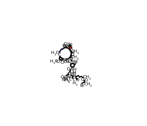 C=C(CBr)C(=O)OC(C)CCCC(C=O)N[C@H](C(=O)N[C@@H](CCCNC(N)=O)C(=O)Nc1ccc(NC(=O)O[C@H]2CC(=O)N(C)c3cc(cc(OC)c3Cl)C/C(C)=C/C=C/[C@@H](OC)[C@@]3(O)C[C@H](OC(=O)N3)[C@@H](C)[C@@H]3O[C@@]23C)c(F)c1)C(C)C